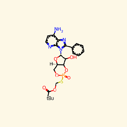 CC(C)(C)C(=O)OCSP1(=O)OC[C@H]2O[C@@H](n3c(-c4ccccc4)nc4c(N)ccnc43)C(O)C2O1